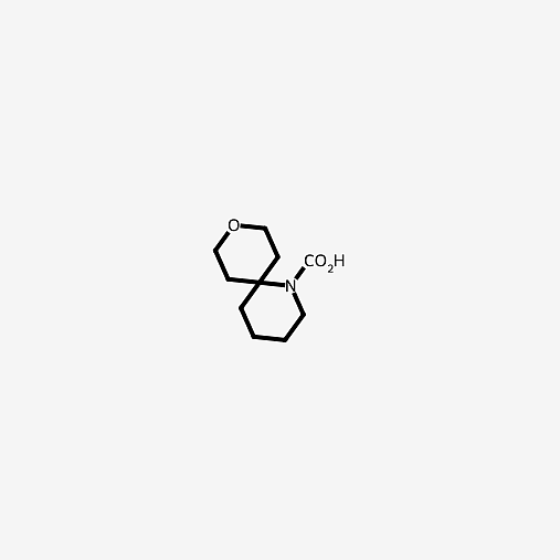 O=C(O)N1CCCCC12CCOCC2